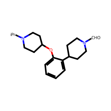 CC(C)N1CCC(Oc2ccccc2C2CCN(C=O)CC2)CC1